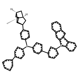 C[C@H]1C[C@H]2C[C@H]3CC(c4ccc(N(c5ccc(-c6ccccc6)cc5)c5ccc(-c6cccc(-n7c8ccccc8c8cc9ccccc9cc87)c6)cc5)cc4)(CC23)C1